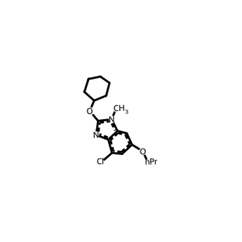 CCCOc1cc(Cl)c2nc(OC3CCCCC3)n(C)c2c1